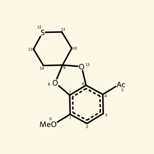 COc1ccc(C(C)=O)c2c1OC1(CCSCC1)O2